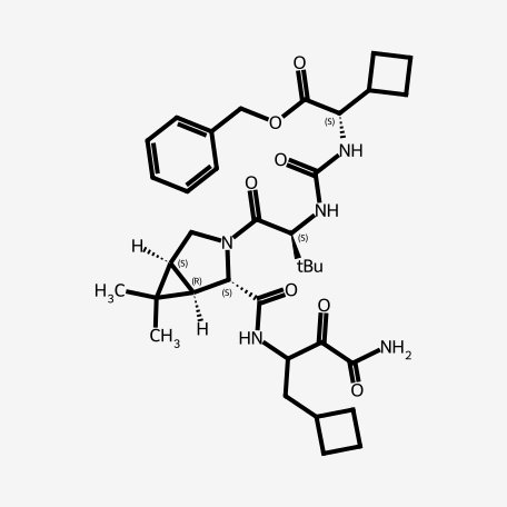 CC(C)(C)[C@H](NC(=O)N[C@H](C(=O)OCc1ccccc1)C1CCC1)C(=O)N1C[C@H]2[C@@H]([C@H]1C(=O)NC(CC1CCC1)C(=O)C(N)=O)C2(C)C